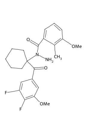 COc1cccc(C(=O)N(N)C2(C(=O)c3cc(F)c(F)c(OC)c3)CCCCC2)c1C